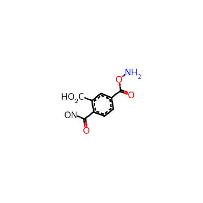 NOC(=O)c1ccc(C(=O)N=O)c(C(=O)O)c1